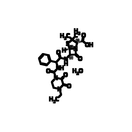 CCN1CCN(C(=O)NC(C(=O)N[C@@H]2C(=O)N3[C@@H]2SC(C)(C)[C@@H]3C(=O)O)c2ccccc2)C(=O)C1=O.O